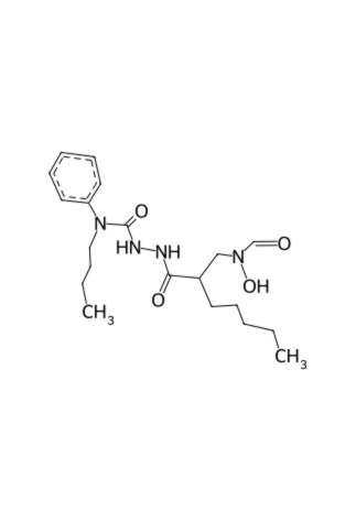 CCCCCC(CN(O)C=O)C(=O)NNC(=O)N(CCCC)c1ccccc1